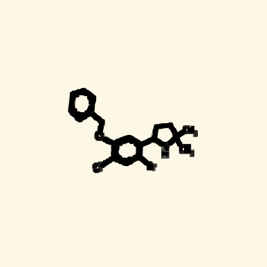 CC1(C)CCC(c2cc(OCc3ccccc3)c(Cl)cc2Br)N1